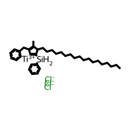 CCCCCCCCCCCCCCCCCCC1C(C)=C(Cc2ccccc2)[C]([Ti+3])=C1[SiH2]c1ccccc1.[Cl-].[Cl-].[Cl-]